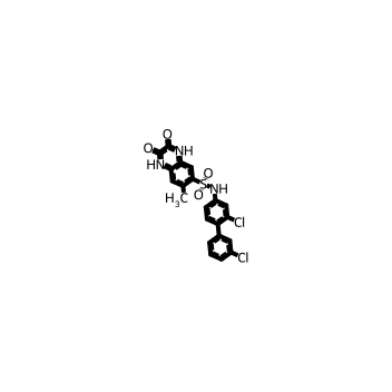 Cc1cc2[nH]c(=O)c(=O)[nH]c2cc1S(=O)(=O)Nc1ccc(-c2cccc(Cl)c2)c(Cl)c1